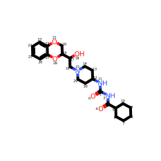 O=C(NC(=O)C1CCCCC1)NC1CCN(CC(O)C2COc3ccccc3O2)CC1